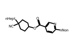 CCCCCCCCCc1ccc(C(=O)OC2CCC(C#N)(CCCCCCC)CC2)cn1